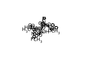 CC[C@@]1(O)C(=O)OCc2c1cc1n(c2=O)Cc2c-1nc1cc(F)c(C)c3c1c2[C@@H](NC(=O)[C@@H](CO)OCNC(=O)CNC(=O)[C@H](Cc1ccccc1)NC(=O)CNC(=O)COC(=O)N(C)C1c2ccccc2-c2ccccc21)CC3